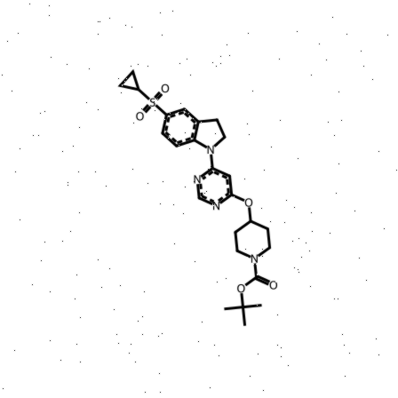 CC(C)(C)OC(=O)N1CCC(Oc2cc(N3CCc4cc(S(=O)(=O)C5CC5)ccc43)ncn2)CC1